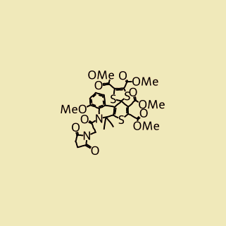 COC(=O)C1=C(C(=O)OC)SC2(S1)C(C(=O)OC)=C(C(=O)OC)SC1=C2c2cccc(OC)c2N(C(=O)CN2C(=O)CCC2=O)C1(C)C